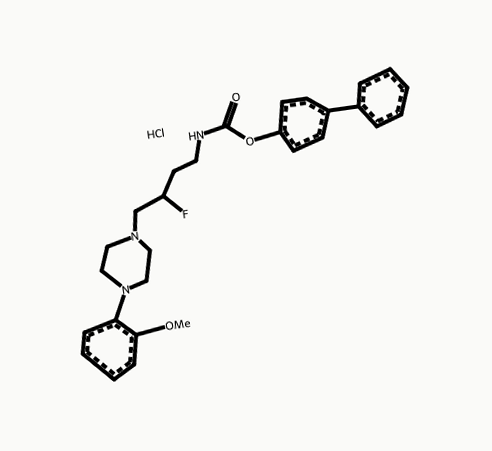 COc1ccccc1N1CCN(CC(F)CCNC(=O)Oc2ccc(-c3ccccc3)cc2)CC1.Cl